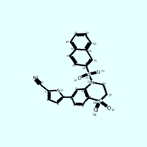 N#Cc1ccc(-c2ccc3c(c2)N(S(=O)(=O)c2ccc4ccccc4c2)CCS3(=O)=O)s1